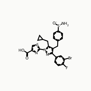 N[S+]([O-])c1ccc(Cc2c(-c3ccc(F)c(Br)c3)nn(-c3nc(C(=O)O)cs3)c2CC2CC2)cc1